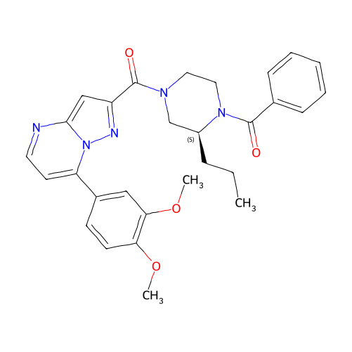 CCC[C@H]1CN(C(=O)c2cc3nccc(-c4ccc(OC)c(OC)c4)n3n2)CCN1C(=O)c1ccccc1